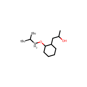 CC(O)CC1CCCCC1O[SiH2]C(C(C)(C)C)C(C)(C)C